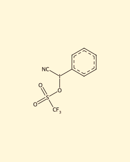 N#CI(OS(=O)(=O)C(F)(F)F)c1ccccc1